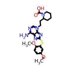 COc1ccc(OC)c(Sc2nc3c(N)ncn(CCC4CCCCN4C(=O)O)c-3n2)c1